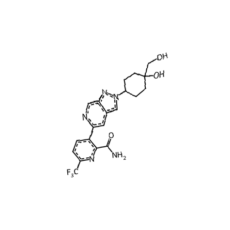 NC(=O)c1nc(C(F)(F)F)ccc1-c1cc2cn(C3CCC(O)(CO)CC3)nc2cn1